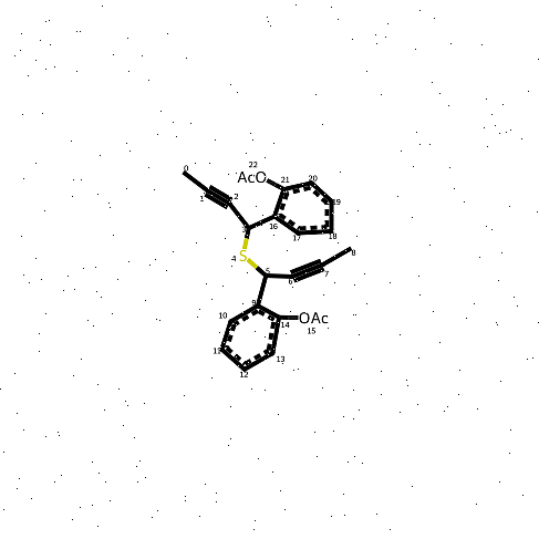 CC#CC(SC(C#CC)c1ccccc1OC(C)=O)c1ccccc1OC(C)=O